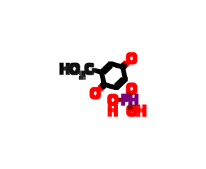 O=C1C=CC(=O)C(C(=O)O)=C1.O=[PH](O)O